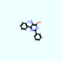 Nc1c(O)nc(-c2ccccc2)nc1-c1ccccc1